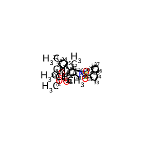 CCOC(=O)C(OC(C)(C)C)c1c(C)c2c(c(C)c1-c1ccc(C)cc1)CN(S(=O)(=O)c1cccc3ccccc13)C2